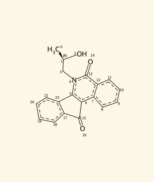 C[C@@H](O)Cn1c2c(c3ccccc3c1=O)C(=O)c1ccccc1-2